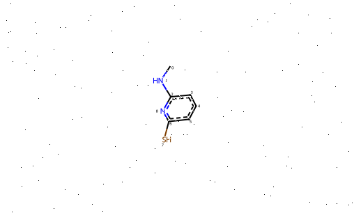 CNc1cccc(S)n1